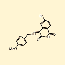 COc1[c]cc(CN/C=C2\C(=O)NC(=O)c3ccc(Br)cc32)cc1